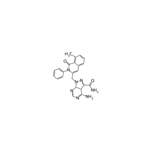 Cc1cccc2cc(CN3N=C(C(N)=O)C4C(N)=NC=NC43)n(-c3ccccc3)c(=O)c12